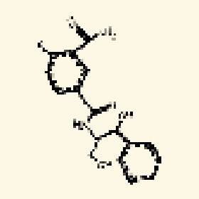 NC(=O)c1cc(C(=O)N[C@H](CO)[C@@H](O)c2ccccc2)ccc1F